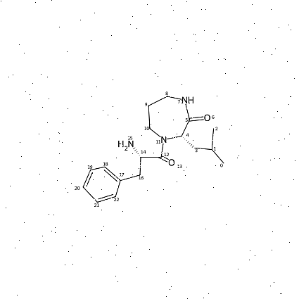 CC(C)C[C@H]1C(=O)NCCCN1C(=O)[C@@H](N)Cc1ccccc1